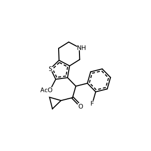 CC(=O)Oc1sc2c(c1C(C(=O)C1CC1)c1ccccc1F)CNCC2